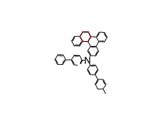 C=C(/C=C\C(=C/C)c1ccccc1)N(c1ccc(C2=CCC(C)C=C2)cc1)c1ccc(-c2ccccc2C2CCC3C=CC=C=C3C2)c(C2CCCCC2)c1